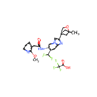 COc1ncccc1C(=O)Nc1cn2cc(C34COC(C)(C3)C4)nc2cc1C(F)F.O=C(O)C(F)(F)F